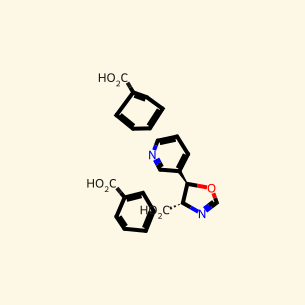 O=C(O)[C@H]1N=CO[C@@H]1c1cccnc1.O=C(O)c1ccccc1.O=C(O)c1ccccc1